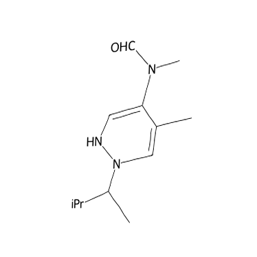 CC1=CN(C(C)C(C)C)NC=C1N(C)C=O